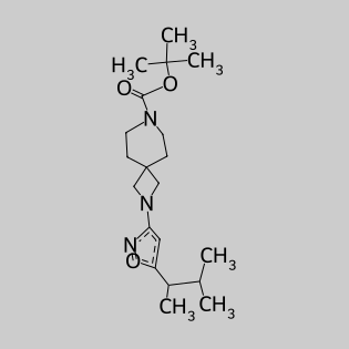 CC(C)C(C)c1cc(N2CC3(CCN(C(=O)OC(C)(C)C)CC3)C2)no1